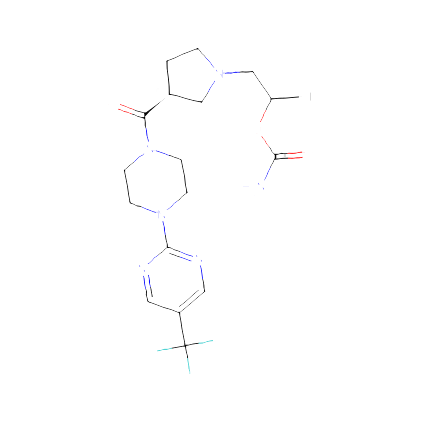 CC(CN1CC[C@H](C(=O)N2CCN(c3ncc(C(F)(F)F)cn3)CC2)C1)OC(N)=O